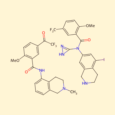 COc1ccc(C(=O)C(F)(F)F)cc1C(=O)Nc1cccc2c1CCN(C)C2.COc1ccc(C(F)(F)F)cc1C(=O)N(C1=NN1)c1cc(I)c2c(c1)CNCC2